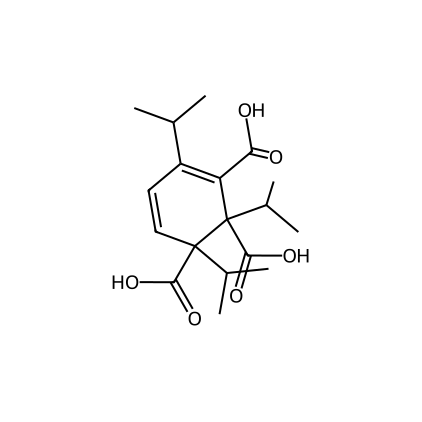 CC(C)C1=C(C(=O)O)C(C(=O)O)(C(C)C)C(C(=O)O)(C(C)C)C=C1